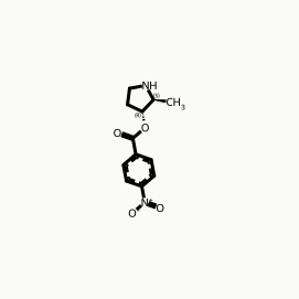 C[C@@H]1NCC[C@H]1OC(=O)c1ccc([N+](=O)[O-])cc1